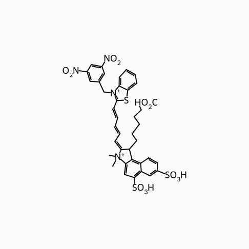 C[N+]1(C)C(=CC=CC=Cc2sc3ccccc3[n+]2Cc2cc([N+](=O)[O-])cc([N+](=O)[O-])c2)C(CCCCCC(=O)O)c2c1cc(S(=O)(=O)O)c1cc(S(=O)(=O)O)ccc21